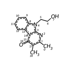 Cc1nc2n(CCO)c3ccccc3n2c(=O)c1C